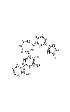 Cc1noc(-c2cccc(C3CN(c4nc(-c5ccncc5F)cc(=O)n4C)CCCO3)c2)n1